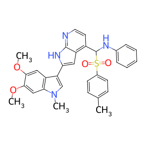 COc1cc2c(-c3cc4c(C(Nc5ccccc5)S(=O)(=O)c5ccc(C)cc5)ccnc4[nH]3)cn(C)c2cc1OC